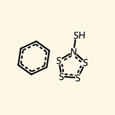 Sn1ssss1.c1ccccc1